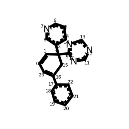 C1=CC(c2cccnc2)(c2ncncn2)CC(c2ccccc2)=C1